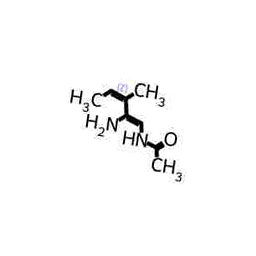 C/C=C(/C)C(N)=CNC(C)=O